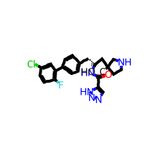 O=C(N[C@H](Cc1ccc(-c2cc(Cl)ccc2F)cc1)CC1(C(=O)O)CCNC1)c1cnn[nH]1